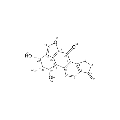 C=C1CCc2c1ccc1c2C(=O)c2occ3c2[C@]1(C)[C@H](O)[C@H](C)[C@@H]3O